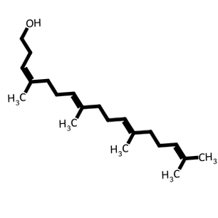 CC(C)=CCC/C(C)=C/CC/C(C)=C/CC/C(C)=C\CCO